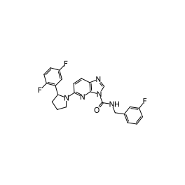 O=C(NCc1cccc(F)c1)n1cnc2ccc(N3CCCC3c3cc(F)ccc3F)nc21